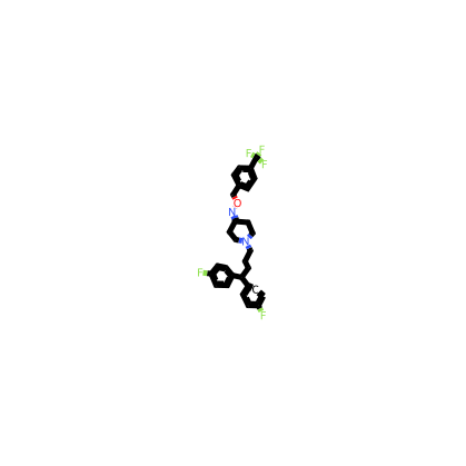 Fc1ccc(C(CCCN2CCC(=NOCc3ccc(C(F)(F)F)cc3)CC2)c2ccc(F)cc2)cc1